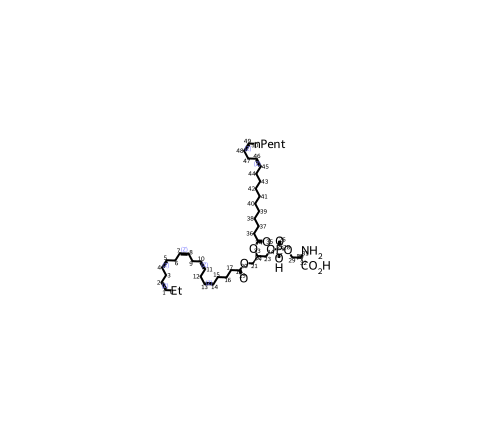 CC/C=C\C/C=C\C/C=C\C/C=C\C/C=C\CCCC(=O)OC[C@H](COP(=O)(O)OC[C@H](N)C(=O)O)OC(=O)CCCCCCCCC/C=C\C/C=C\CCCCC